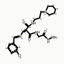 CC(C)(C)NC(=O)CNC(=O)/C(=C\N=C\c1cccc(Cl)c1)C(=O)NCCCN1CCCCC1